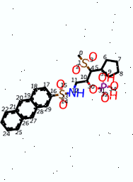 CS(=O)(=O)C(C1CCCC1)C(CNS(=O)(=O)c1ccc2cc3ccccc3cc2c1)OP(=O)(O)O